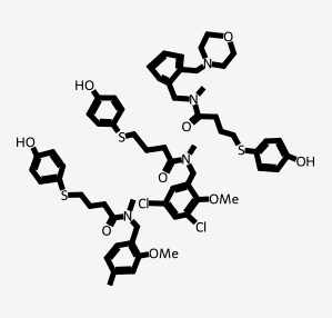 CN(Cc1ccccc1CN1CCOCC1)C(=O)CCCSc1ccc(O)cc1.COc1c(Cl)cc(Cl)cc1CN(C)C(=O)CCCSc1ccc(O)cc1.COc1cc(C)ccc1CN(C)C(=O)CCCSc1ccc(O)cc1